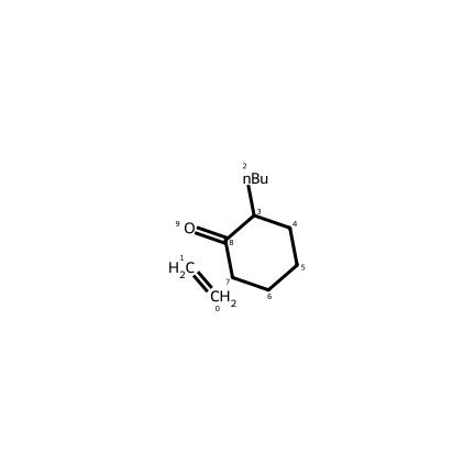 C=C.CCCCC1CCCCC1=O